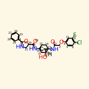 O=C(COc1ccc(Cl)c(F)c1)NC12CCC(NC(=O)C3CNC(c4ccccc4)O3)(CC1)C[C@@H]2O